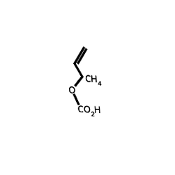 C.C=CCOC(=O)O